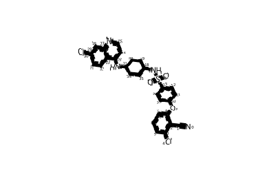 N#Cc1c(Cl)cccc1Oc1ccc(S(=O)(=O)NC2CCC(Nc3ccnc4cc(Cl)ccc34)CC2)cc1